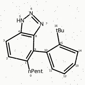 CCCCCc1ccc2[nH]nnc2c1-c1ccccc1C(C)(C)C